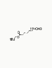 CC(C)(C)COC(=O)CCCCCNC=O